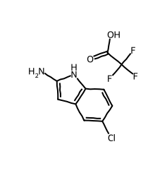 Nc1cc2cc(Cl)ccc2[nH]1.O=C(O)C(F)(F)F